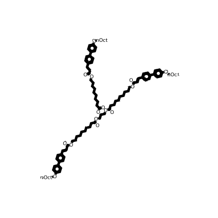 CCCCCCCCOc1ccc(-c2ccc(/C=C/C(=O)OCCCCCCCCCC(=O)OCC(COC(=O)CCCCCCCCCOC(=O)/C=C/c3ccc(-c4ccc(OCCCCCCCC)cc4)cc3)OC(=O)CCCCCCCCCOC(=O)/C=C/c3ccc(-c4ccc(OCCCCCCCC)cc4)cc3)cc2)cc1